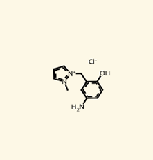 Cn1ccc[n+]1Cc1cc(N)ccc1O.[Cl-]